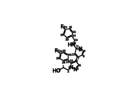 OCCn1ncc(-c2ccnc(NCc3ccc(F)cc3)c2)c1-c1ccc(F)cc1